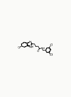 O=C(CCCc1nc2ccc(Cl)cc2[nH]1)NCc1cc(Cl)cc(Cl)c1